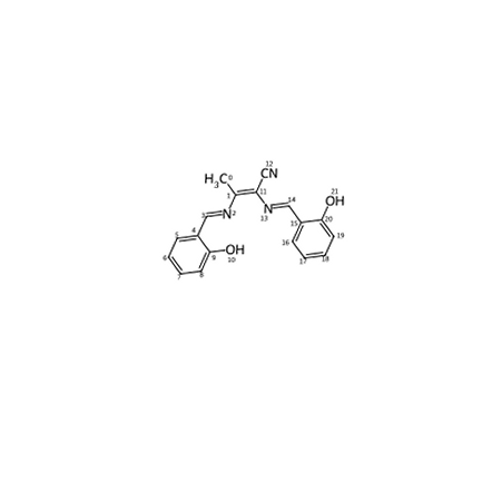 CC(/N=C/c1ccccc1O)=C(C#N)/N=C/c1ccccc1O